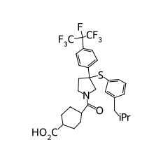 CC(C)Cc1cccc(SC2(c3ccc(C(F)(C(F)(F)F)C(F)(F)F)cc3)CCN(C(=O)C3CCC(C(=O)O)CC3)C2)c1